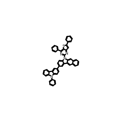 c1ccc(-c2cc3nc(-n4c5ccc(-c6ccc7c(c6)c6ccccc6n7-c6ccccc6)cc5c5cc6ccccc6cc54)nc(-c4ccccc4)c3s2)cc1